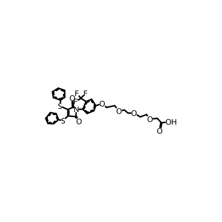 O=C(O)COCCOCCOCCOc1ccc(N2C(=O)C(Sc3ccccc3)=C(Sc3ccccc3)C2=O)c(C(F)(F)F)c1